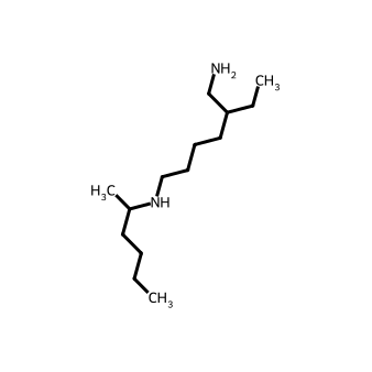 CCCCC(C)NCCCCC(CC)CN